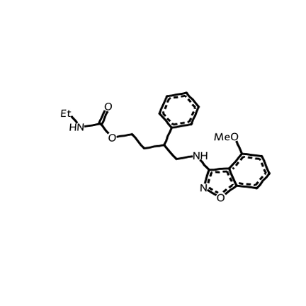 CCNC(=O)OCCC(CNc1noc2cccc(OC)c12)c1ccccc1